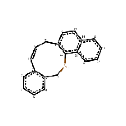 C1=C\c2ccccc2CSc2c(ccc3ccccc23)C/1